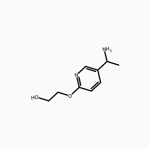 CC(N)c1ccc(OCCO)nc1